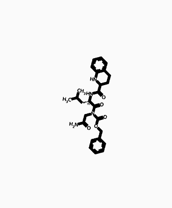 CC(C)C[C@H](NC(=O)C1CCc2ccccc2N1)C(=O)N(CC(N)=O)C(=O)OCc1ccccc1